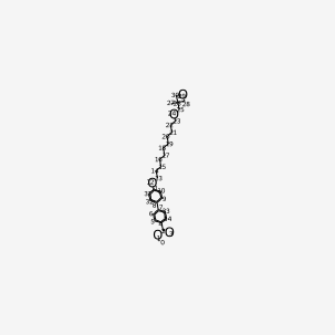 COC(=O)c1ccc(-c2ccc(OCCCCCCCCCCCOCC3(C)COC3)cc2)cc1